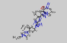 CN1CCN(c2ccc(Nc3ncc4c(n3)-c3nn5c(c3CC4)C(=O)NCCC5)cc2C(F)(F)F)CC1